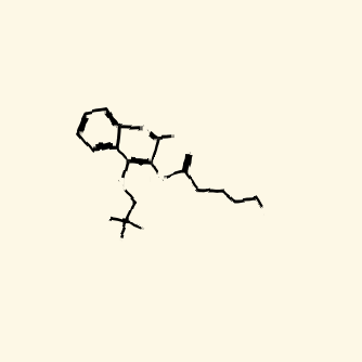 CC(C)(O)CNc1c(NC(=O)CCCCC(F)(F)F)c(Cl)nc2ccccc12